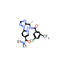 CCN(CC)C(=O)c1ccc(-n2ncnc2[C@H](C)NC(=O)c2cc(Cl)cc(C(F)(F)F)c2)nc1